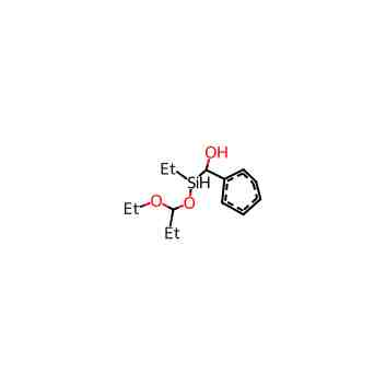 CCOC(CC)O[SiH](CC)C(O)c1ccccc1